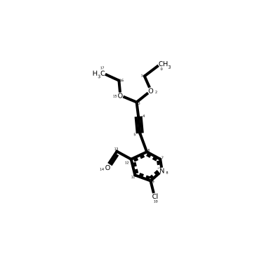 CCOC(C#Cc1cnc(Cl)cc1C=O)OCC